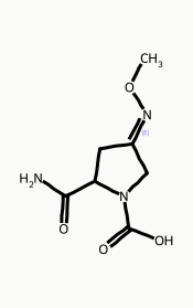 CO/N=C1\CC(C(N)=O)N(C(=O)O)C1